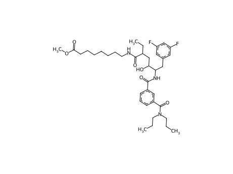 CCCN(CCC)C(=O)c1cccc(C(=O)NC(Cc2cc(F)cc(F)c2)C(O)CC(CC)C(=O)NCCCCCCCC(=O)OC)c1